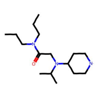 CCCN(CCC)C(=O)CN(C(C)C)C1CC[N]CC1